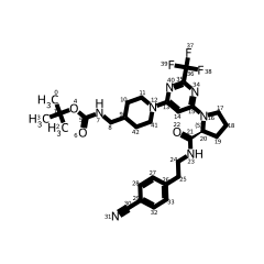 CC(C)(C)OC(=O)NCC1CCN(c2cc(N3CCC[C@H]3C(=O)NCCc3ccc(C#N)cc3)nc(C(F)(F)F)n2)CC1